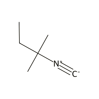 [C-]#[N+]C(C)(C)CC